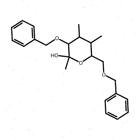 CC1C(COCc2ccccc2)OC(C)(O)C(OCc2ccccc2)C1C